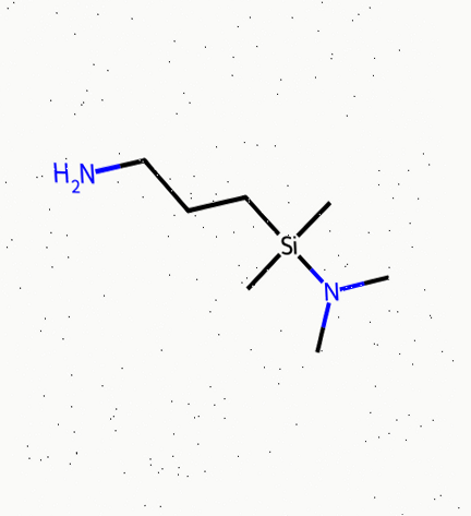 CN(C)[Si](C)(C)CCCN